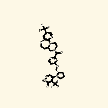 O=C(c1nccc(OC[C@@H]2CCCN2c2cn[nH]c(=O)c2C(F)(F)F)n1)N1CCN2c3ncc(C(F)(F)F)cc3OCCC2C1